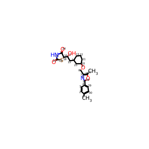 Cc1ccc(-c2nc(COC3CCCC(CC(O)C4SC(=O)NC4=O)C3)c(C)o2)cc1